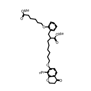 CCCc1c(OCCCCCCC(Cc2ccccc2OCCCCCC(=O)OC)C(=O)OC)ccc2c1OCCC2=O